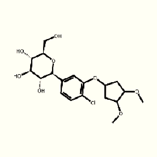 COC1CC(Oc2cc([C@@H]3O[C@H](CO)[C@@H](O)[C@H](O)[C@H]3O)ccc2Cl)CC1OC